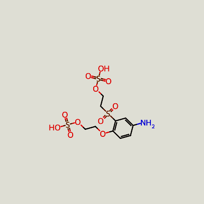 Nc1ccc(OCCOS(=O)(=O)O)c(S(=O)(=O)CCOS(=O)(=O)O)c1